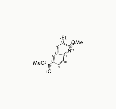 CCc1cc2cc(C(=O)OC)ccc2nc1OC